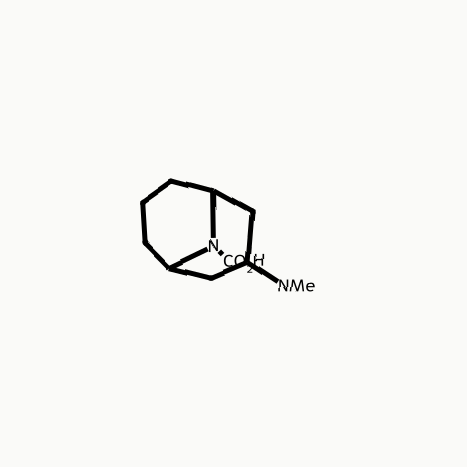 CNC1CC2CCCC(C1)N2C(=O)O